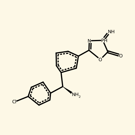 N=[PH]1N=C(c2cccc([C@@H](N)c3ccc(Cl)cc3)c2)OC1=O